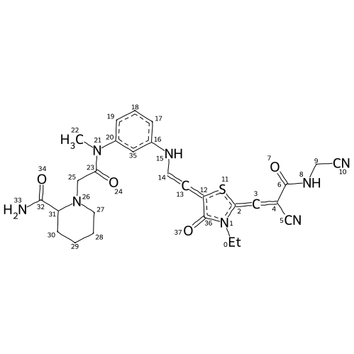 CCn1c(=C=C(C#N)C(=O)NCC#N)sc(=C=CNc2cccc(N(C)C(=O)CN3CCCCC3C(N)=O)c2)c1=O